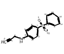 C#CCNc1ccc(S(=O)(=O)c2ccccc2)cc1